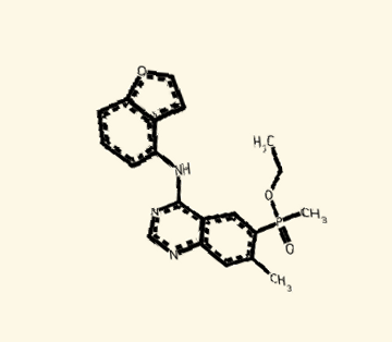 CCOP(C)(=O)c1cc2c(Nc3cccc4occc34)ncnc2cc1C